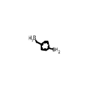 BCc1ccc(B)cc1